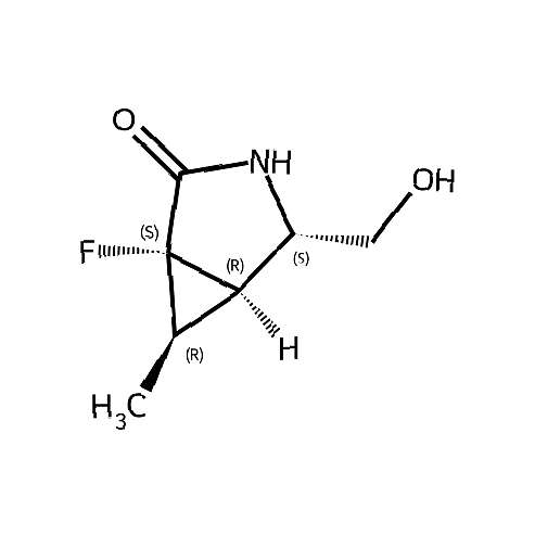 C[C@@H]1[C@@H]2[C@@H](CO)NC(=O)[C@@]21F